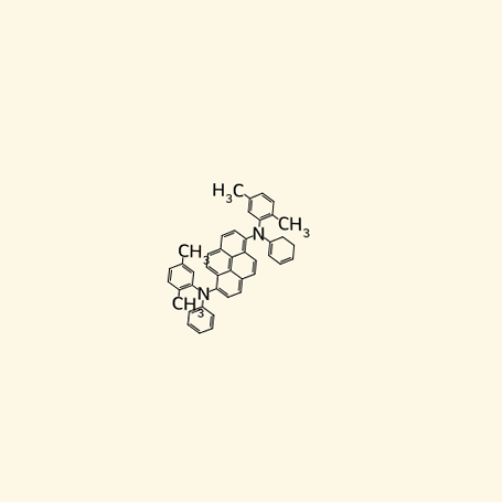 Cc1ccc(C)c(N(C2=CC=CCC2)c2ccc3ccc4c(N(c5ccccc5)c5cc(C)ccc5C)ccc5ccc2c3c54)c1